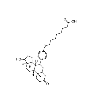 C[C@]12CCC(=O)CC1CC(c1ccc(OCCCCCCCC(=O)O)cc1)[C@@H]1[C@H]2CC[C@]2(C)C(O)CC[C@@H]12